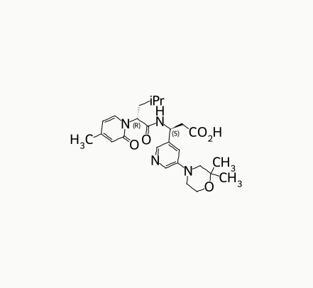 Cc1ccn([C@H](CC(C)C)C(=O)N[C@@H](CC(=O)O)c2cncc(N3CCOC(C)(C)C3)c2)c(=O)c1